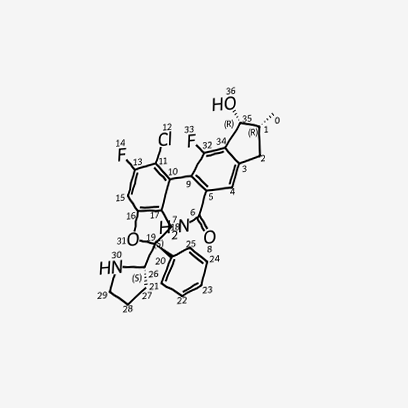 C[C@@H]1Cc2cc(C(N)=O)c(-c3c(Cl)c(F)cc4c3C[C@](c3ccccc3)([C@@H]3CCCN3)O4)c(F)c2[C@@H]1O